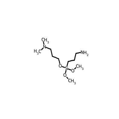 CO[Si](CCCN)(OC)OCCCN(C)C